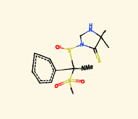 CNC(c1ccccc1)([S+]([O-])N1CNC(C)(C)C1=S)S(C)(=O)=O